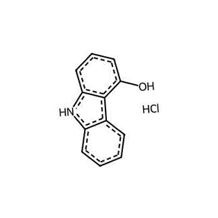 Cl.Oc1cccc2[nH]c3ccccc3c12